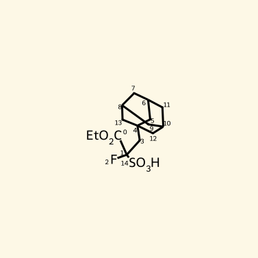 CCOC(=O)C(F)(CC12CC3CC(CC(C3)C1)C2)S(=O)(=O)O